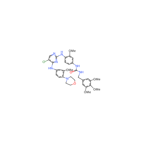 COc1cc(NC(=O)NCc2cc(OC)c(OC)c(OC)c2)ccc1Nc1ncc(Cl)c(Nc2ccc(N3CCOCC3)c(OC)c2)n1